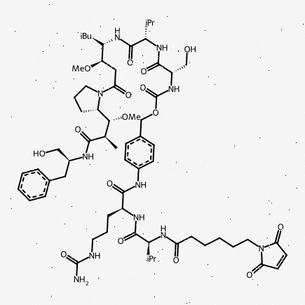 CC[C@H](C)[C@H](NC(=O)[C@@H](NC(=O)[C@H](CO)NC(=O)OCc1ccc(NC(=O)[C@H](CCCNC(N)=O)NC(=O)[C@@H](NC(=O)CCCCCN2C(=O)C=CC2=O)C(C)C)cc1)C(C)C)[C@@H](CC(=O)N1CCC[C@H]1[C@H](OC)[C@@H](C)C(=O)N[C@H](CO)Cc1ccccc1)OC